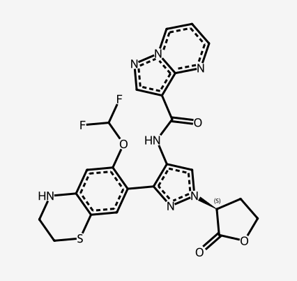 O=C(Nc1cn([C@H]2CCOC2=O)nc1-c1cc2c(cc1OC(F)F)NCCS2)c1cnn2cccnc12